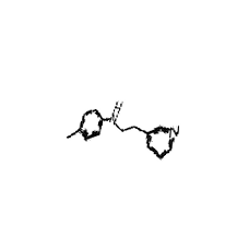 Cc1ccc(NCCc2cccnc2)cc1